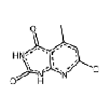 Cc1cc(Cl)nc2[nH]c(=O)[nH]c(=O)c12